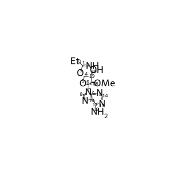 CCC(=N)O[C@H]1O[C@@H](n2cnc3c(N)ncnc32)C(OC)[C@@H]1O